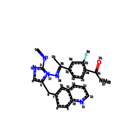 C=Nc1ncc(Cc2ccc3ncccc3c2)n1/N=C(\C)c1ccc(C(=O)NC)c(F)c1